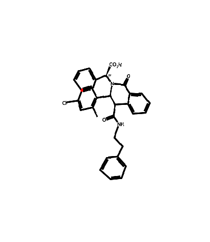 Cc1cc(Cl)ccc1C1C(C(=O)NCCc2ccccc2)c2ccccc2C(=O)N1[C@H](C(=O)O)c1ccccc1